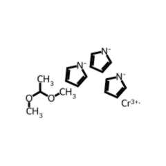 COC(C)OC.[Cr+3].c1cc[n-]c1.c1cc[n-]c1.c1cc[n-]c1